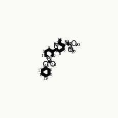 COS(=Nc1ccc(C2=CCCN(C(=O)Oc3ccccc3)C2)nc1C)OC